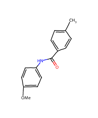 COc1ccc(NC(=O)c2ccc(C)cc2)cc1